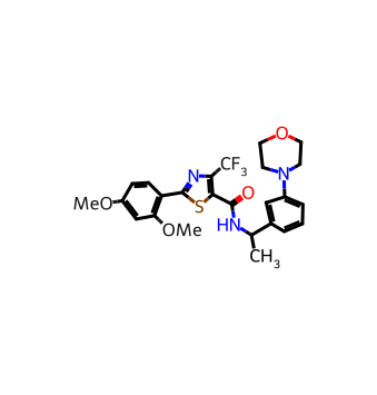 COc1ccc(-c2nc(C(F)(F)F)c(C(=O)NC(C)c3cccc(N4CCOCC4)c3)s2)c(OC)c1